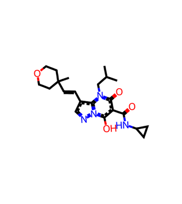 CC(C)Cn1c(=O)c(C(=O)NC2CC2)c(O)n2ncc(C=CC3(C)CCOCC3)c12